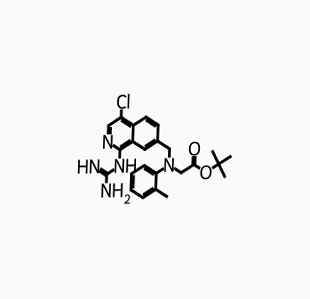 Cc1ccccc1N(CC(=O)OC(C)(C)C)Cc1ccc2c(Cl)cnc(NC(=N)N)c2c1